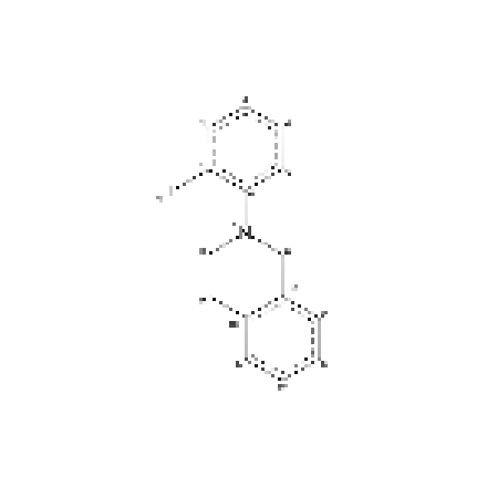 Ic1ccccc1N1CCc2ccccc2C1